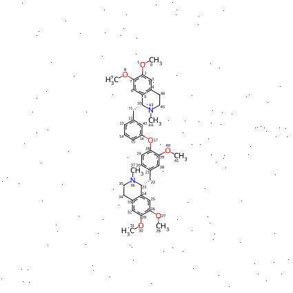 COc1cc2c(cc1OC)[C@@H](Cc1cccc(Oc3ccc(C[C@@H]4c5cc(OC)c(OC)cc5CCN4C)cc3OC)c1)N(C)CC2